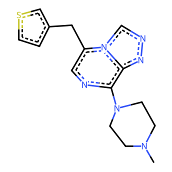 CN1CCN(c2ncc(Cc3ccsc3)n3cnnc23)CC1